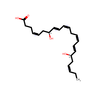 CC/C=C\C[C@@H](O)/C=C/C=C\C/C=C\C=C\[C@@H](O)C/C=C\CCC(=O)O